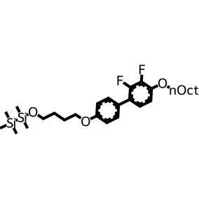 CCCCCCCCOc1ccc(-c2ccc(OCCCCO[Si](C)(C)[Si](C)(C)C)cc2)c(F)c1F